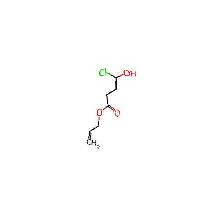 C=CCOC(=O)CCC(O)Cl